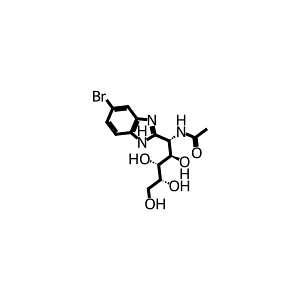 CC(=O)N[C@@H](c1nc2cc(Br)ccc2[nH]1)[C@@H](O)[C@@H](O)[C@H](O)CO